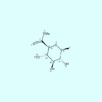 COC(=O)[C@H]1O[C@@H](C)[C@H](O)[C@@H](O)[C@@H]1O